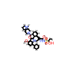 CCC(O)S(=O)(=O)NC(=O)C1=C2Cn3c(cc4c(OC)ccc(C5CCCCC5)c43)C3C(=C21)C=CC[C@H]3C(=O)N1CCC2(CCCN2C)CC1